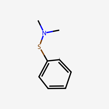 CN(C)Sc1[c]cccc1